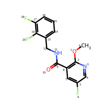 COc1ncc(F)cc1C(=O)NCc1cccc(F)c1F